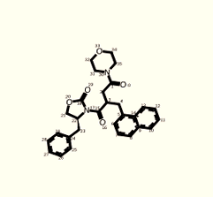 O=C(CC(Cc1cccc2ccccc12)C(=O)N1C(=O)OC[C@@H]1Cc1ccccc1)N1CCOCC1